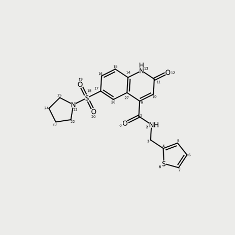 O=C(NCc1cccs1)c1cc(=O)[nH]c2ccc(S(=O)(=O)N3CCCC3)cc12